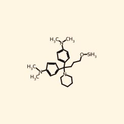 CN(C)c1ccc(C(CCCO[SiH3])(c2ccc(N(C)C)cc2)N2CCCCC2)cc1